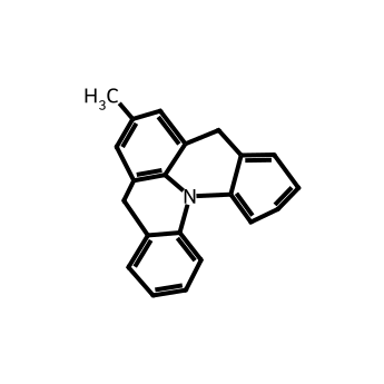 Cc1cc2c3c(c1)Cc1ccccc1N3c1ccccc1C2